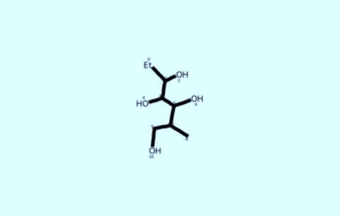 CCC(O)C(O)C(O)C(C)CO